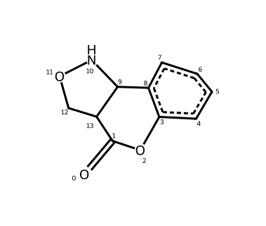 O=C1Oc2ccccc2C2NOCC12